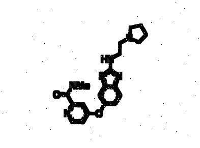 CNC(=O)c1cc(Oc2ccc3nc(NCCN4CCCC4)sc3c2)ccn1